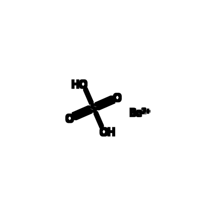 O=S(=O)(O)O.[Be+2]